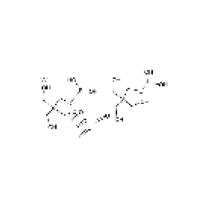 OCC(CO)(CO)COP(O)O.OCC(CO)(CO)COP(O)O.[C]=O.[C]=O.[C]=O.[C]=O.[W]